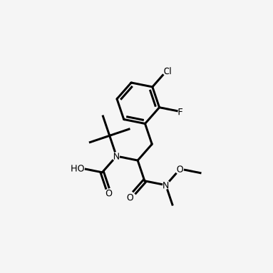 CON(C)C(=O)C(Cc1cccc(Cl)c1F)N(C(=O)O)C(C)(C)C